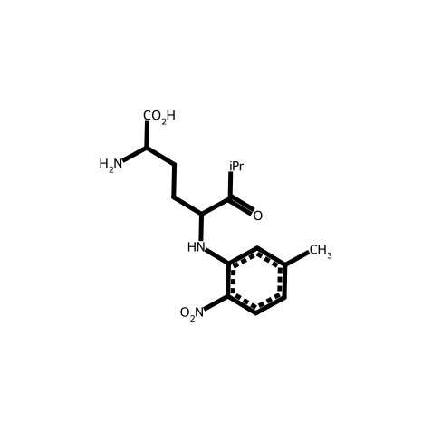 Cc1ccc([N+](=O)[O-])c(NC(CCC(N)C(=O)O)C(=O)C(C)C)c1